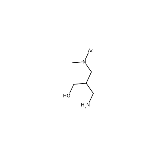 CC(=O)N(C)CC(CN)CO